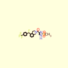 CS(=O)(=O)c1nc(C(=O)N2CCc3c(cccc3C(F)c3ccc(C(F)(F)F)cc3)C2)c[nH]1